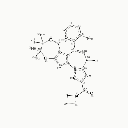 [2H]C1([2H])OCc2c(sc3c2C(c2c(F)cccc2F)=N[C@@H](C)c2nc(C(=O)N4CCC4)nn2-3)OC1([2H])[2H]